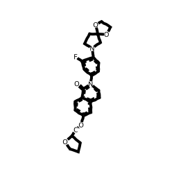 O=c1c2ccc(OCC3CCCO3)cc2ccn1-c1ccc(N2CCC3(C2)OCCO3)c(F)c1